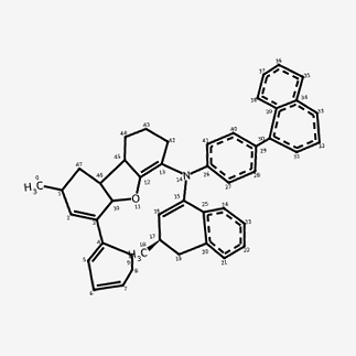 CC1C=C(C2=CC=CCC2)C2OC3=C(N(C4=C[C@H](C)Cc5ccccc54)c4ccc(-c5cccc6ccccc56)cc4)CCCC3C2C1